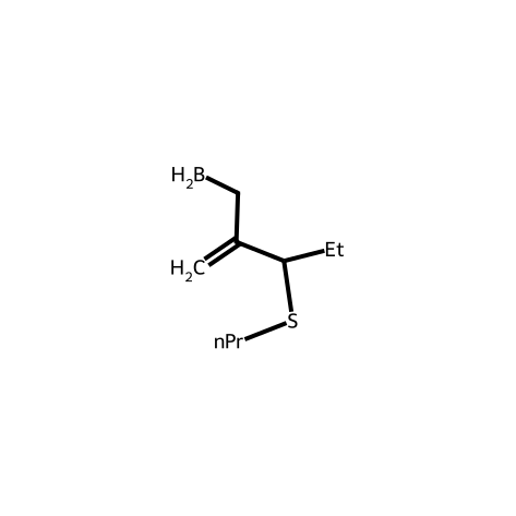 BCC(=C)C(CC)SCCC